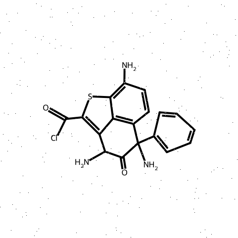 Nc1ccc2c3c(c(C(=O)Cl)sc13)C(N)C(=O)C2(N)c1ccccc1